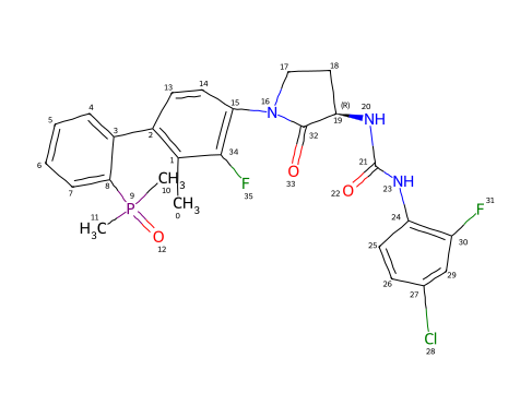 Cc1c(-c2ccccc2P(C)(C)=O)ccc(N2CC[C@@H](NC(=O)Nc3ccc(Cl)cc3F)C2=O)c1F